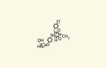 CCn1c(=O)[nH]/c(=N\c2ccc(O[C@H]3CN[C@H](CO)C3)cc2)n(Cc2ccc(Cl)cc2)c1=O